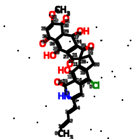 C/C=C/C=C/c1cc2c(Cl)c3c(c(O)c2c(=O)[nH]1)C1(CC3)C(=O)C2=C(C1=O)C(O)C1C(=O)C(OC)=CC(=O)C1=C2O